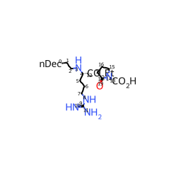 CCCCCCCCCCCCN[C@@H](CCCNC(=N)N)C(=O)OCC.O=C(O)N1CCCC1=O